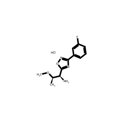 CO[C@H](C)[C@H](N)c1nc(-c2cccc(F)c2)no1.Cl